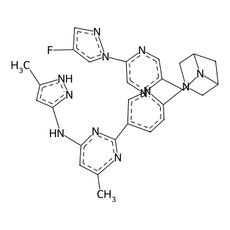 Cc1cc(Nc2cc(C)[nH]n2)nc(-c2ccc(N3CC4CC(C3)N4Cc3cnc(-n4cc(F)cn4)cn3)nc2)n1